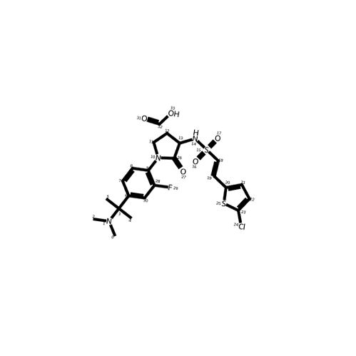 CN(C)C(C)(C)c1ccc(N2CCC(NS(=O)(=O)C=Cc3ccc(Cl)s3)C2=O)c(F)c1.O=CO